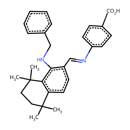 CC1(C)CCC(C)(C)c2c1ccc(C=Nc1ccc(C(=O)O)cc1)c2NCc1ccccc1